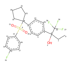 CCC(O)(c1ccc(C2(S(=O)(=O)c3ccc(F)cc3)CCCC2)cc1)C(F)(F)F